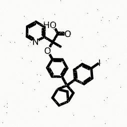 CC(Oc1ccc(C2(c3ccc(I)cc3)CC3CCC2C3)cc1)(C(=O)O)c1ccccn1